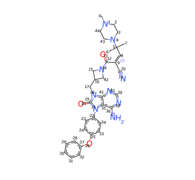 CN1CCN(C(C)(C)/C=C(/C#N)C(=O)N2CC(Cn3c(=O)n(-c4ccc(Oc5ccccc5)cc4)c4c(N)ncnc43)C2)CC1